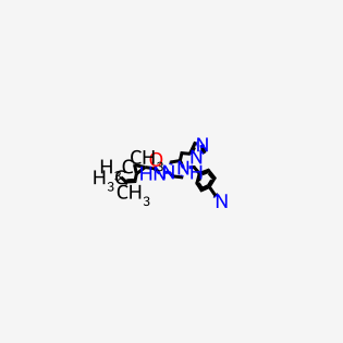 CC(C)=CC1C(C(=O)NN2CCN(Cc3ccc(C#N)cc3)C(Cc3cnc[nH]3)C2)C1(C)C